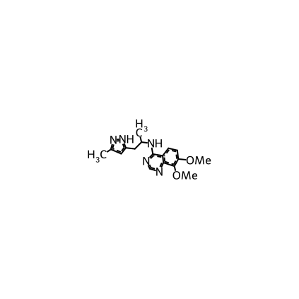 COc1ccc2c(NC(C)Cc3cc(C)n[nH]3)ncnc2c1OC